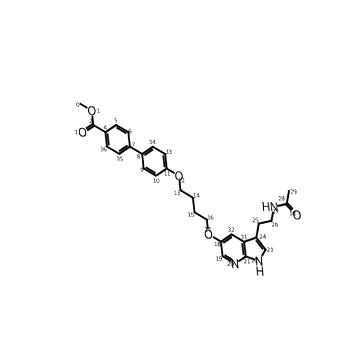 COC(=O)c1ccc(-c2ccc(OCCCCOc3cnc4[nH]cc(CCNC(C)=O)c4c3)cc2)cc1